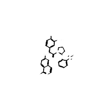 COc1cc([C@@H](Nc2ccc3c(N)nccc3c2)C(=O)N2CC[C@H](C(=O)O)[C@@H]2c2ccccc2S(=O)(=O)C(C)C)ccc1Cl